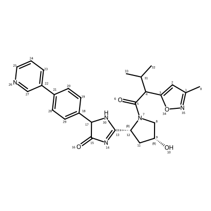 Cc1cc(C(C(=O)N2C[C@H](O)C[C@@H]2C2=NC(=O)C(c3ccc(-c4cccnc4)cc3)N2)C(C)C)on1